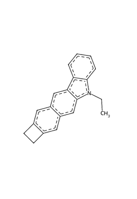 CCn1c2ccccc2c2cc3cc4c(cc3cc21)CC4